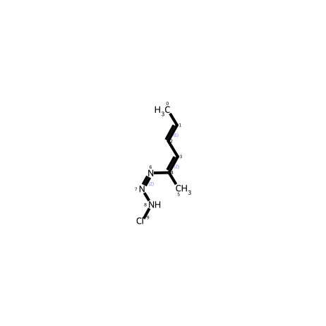 C/C=C/C=C(C)\N=N/NCl